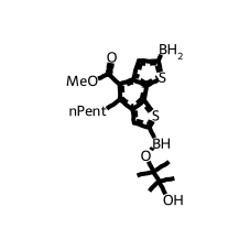 Bc1cc2c(C(=O)OC)c(CCCCC)c3cc(BOC(C)(C)C(C)(C)O)sc3c2s1